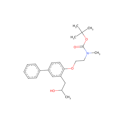 CC(O)Cc1cc(-c2ccccc2)ccc1OCCN(C)C(=O)OC(C)(C)C